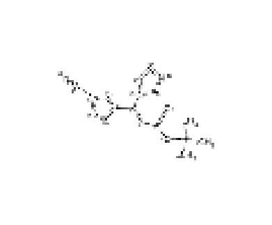 CC(C)(C)OC(=O)/C=C(/c1ccc(C#N)s1)n1ccnc1